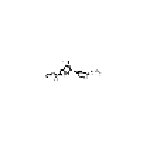 Cn1cc(-c2cn3nc(C(=O)N=O)cc3c(O)n2)cn1